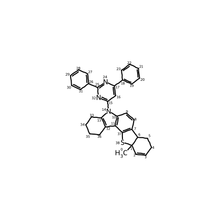 CC12C=CCCC1c1ccc3c(c4c(n3-c3cc(-c5ccccc5)nc(-c5ccccc5)n3)CCCC4)c1S2